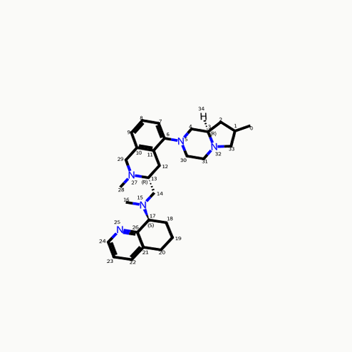 CC1C[C@@H]2CN(c3cccc4c3C[C@H](CN(C)[C@H]3CCCc5cccnc53)N(C)C4)CCN2C1